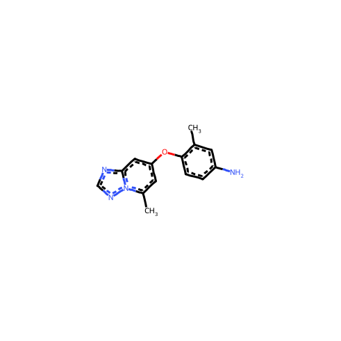 Cc1cc(N)ccc1Oc1cc(C)n2ncnc2c1